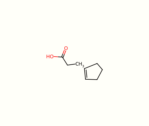 C1=CCCC1.CCC(=O)O